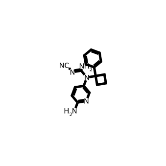 N#C/N=C(\N)N(c1ccc(N)nc1)C1(c2ccccc2)CCC1